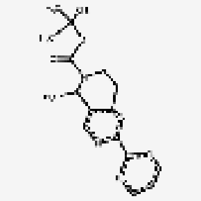 CC1c2cnc(-c3ncccn3)nc2CCN1C(=O)OC(C)(C)C